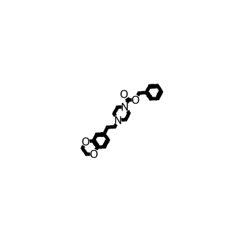 O=C(OCc1ccccc1)N1CCN(CCc2ccc3c(c2)OCCO3)CC1